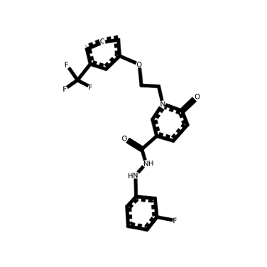 O=C(NNc1cccc(F)c1)c1ccc(=O)n(CCOc2cccc(C(F)(F)F)c2)c1